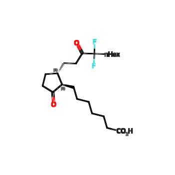 CCCCCCC(F)(F)C(=O)CC[C@H]1CCC(=O)[C@@H]1CCCCCCC(=O)O